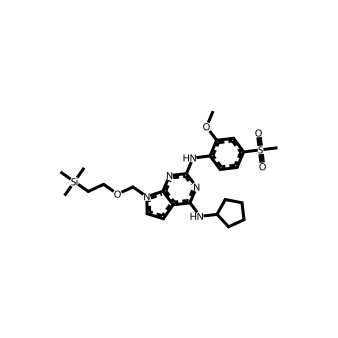 COc1cc(S(C)(=O)=O)ccc1Nc1nc(NC2CCCC2)c2ccn(COCC[Si](C)(C)C)c2n1